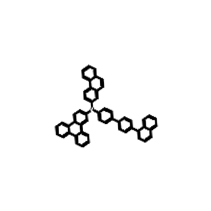 c1ccc2c(-c3ccc(-c4ccc(N(c5ccc6c(ccc7ccccc76)c5)c5ccc6c7ccccc7c7ccccc7c6c5)cc4)cc3)cccc2c1